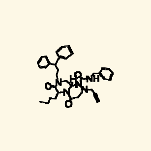 C#CCN1CC(=O)N2[C@@H](CCCC)C(=O)N(CCC(c3ccccc3)c3ccccc3)C[C@@H]2N1C(=O)NCc1ccccc1